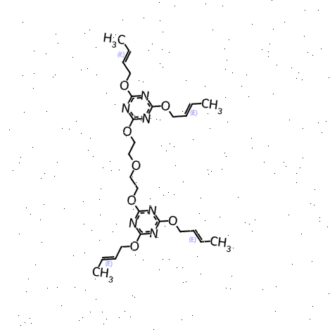 C/C=C/COc1nc(OC/C=C/C)nc(OCCOCCOc2nc(OC/C=C/C)nc(OC/C=C/C)n2)n1